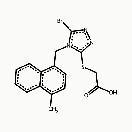 Cc1ccc(Cn2c(Br)nnc2SCC(=O)O)c2ccccc12